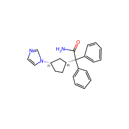 NC(=O)C(c1ccccc1)(c1ccccc1)[C@@H]1CC[C@H](n2ccnc2)C1